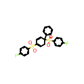 O=S(=O)(C1=CCC(c2ccccc2)(S(=O)(=O)c2ccc(F)cc2)C=C1)c1ccc(F)cc1